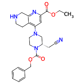 CCOC(=O)c1cc(N2CCN(C(=O)OCc3ccccc3)[C@@H](CC#N)C2)c2c(n1)CNCC2